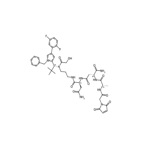 C[C@H](NC(=O)CN1C(=O)C=CC1=O)C(=O)N[C@H](CC(=O)N[C@@H](CC(N)=O)C(=O)NCCCN(C(=O)CO)[C@@H](c1cc(-c2cc(F)ccc2F)cn1Cc1ccccc1)C(C)(C)C)C(N)=O